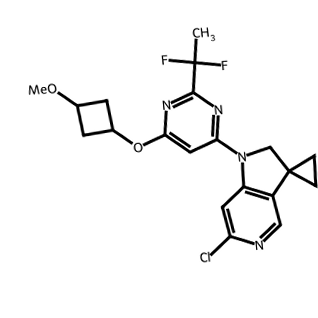 COC1CC(Oc2cc(N3CC4(CC4)c4cnc(Cl)cc43)nc(C(C)(F)F)n2)C1